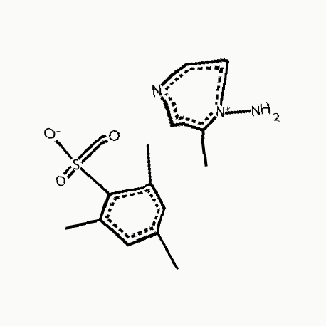 Cc1cc(C)c(S(=O)(=O)[O-])c(C)c1.Cc1cncc[n+]1N